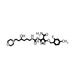 Cc1ccc(COc2nsc(NC(=O)NCCCC(O)CCN3CCOCC3)c2C(N)=O)c(F)c1